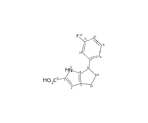 O=C(O)c1cc2c([nH]1)C(c1cccc(F)c1)CC2